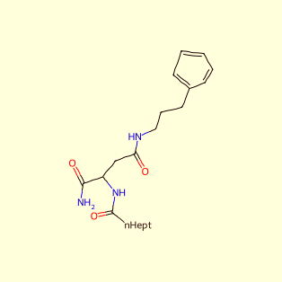 CCCCCCCC(=O)NC(CC(=O)NCCCc1ccccc1)C(N)=O